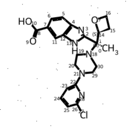 C[C@](c1nc2ccc(C(=O)O)cc2[nH]1)([C@@H]1CCO1)N1CCN(c2cccc(Cl)n2)CC1